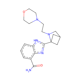 NC(=O)c1cccc2[nH]c(C34CC(CN3CCN3CCOCC3)C4)nc12